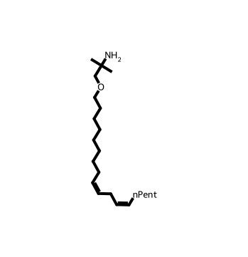 CCCCC/C=C\C/C=C\CCCCCCCCOCC(C)(C)N